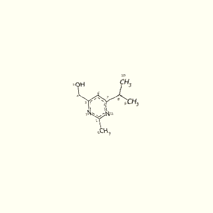 Cc1nc(CO)cc(C(C)C)n1